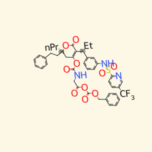 CCC[C@@]1(CCc2ccccc2)CC(OC(=O)NCC(=O)OC(=O)OCc2ccccc2)=C([C@H](CC)c2cccc(NS(=O)(=O)c3ccc(C(F)(F)F)cn3)c2)C(=O)O1